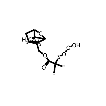 CC1(C)C2CC=C(COC(=O)C(F)(F)SOOO)C1C2